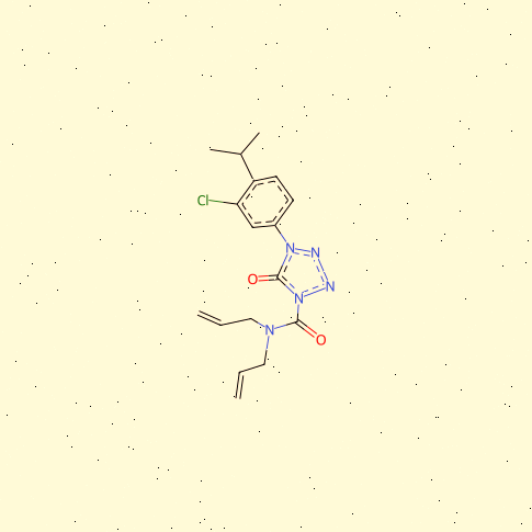 C=CCN(CC=C)C(=O)n1nnn(-c2ccc(C(C)C)c(Cl)c2)c1=O